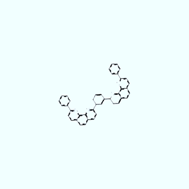 C1=CC(C2CC=c3ccc4ccc(-c5ccccc5)nc4c3=N2)=CC(c2ccc3ccc4ccc(-c5ccccc5)nc4c3n2)C1